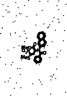 COC(=O)C(C[C@H](SC)[N+](=O)[O-])N(C(=O)c1ccccc1)c1ccc2ccccc2c1